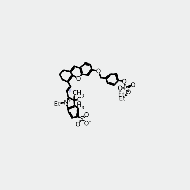 CCOP(=O)(OCC)Oc1ccc(COc2ccc3c(c2)OC2=C(/C=C/C4=[N+](CC)c5ccc(S(=O)(=O)[O-])cc5C4(C)C)CCCC2=C3)cc1